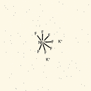 [F][Nb-2]([F])([F])([F])([F])([F])[F].[K+].[K+]